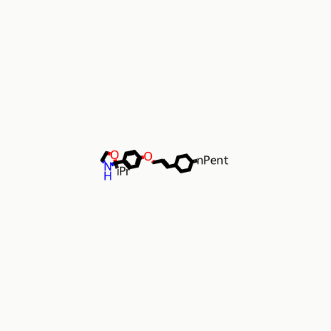 CCCCCC1CCC(C=CCOc2ccc(C3(C(C)C)NCCO3)cc2)CC1